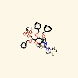 CN(C)C1=N[C@@H]2[C@@H](OCc3ccccc3)[C@@H](OCc3ccccc3)[C@@H]([C@H](COS(C)(=O)=O)OCc3ccccc3)O[C@@H]2S1